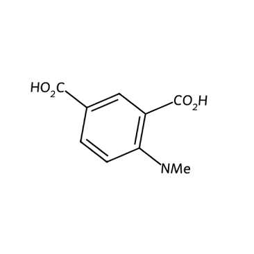 CNc1ccc(C(=O)O)cc1C(=O)O